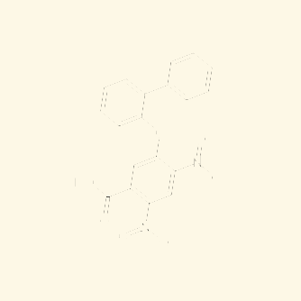 O=C(O)c1cc(Oc2ccccc2-c2ccccc2)c([N+](=O)[O-])cc1[N+](=O)[O-]